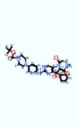 CC(=O)N1c2cnc(Nc3ccc(N4CCN(C(=O)OC(C)(C)C)CC4)cn3)nc2C(O)(C2CCCC2)C1C(=O)N(C)C